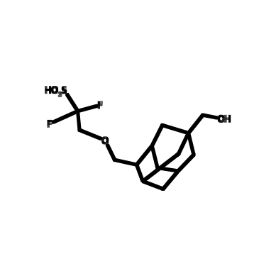 O=S(=O)(O)C(F)(F)COCC1C2CC3CC1CC(CO)(C3)C2